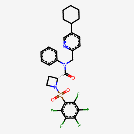 O=C([C@H]1CCN1S(=O)(=O)c1c(F)c(F)c(F)c(F)c1F)N(Cc1ccc(C2CCCCC2)cn1)c1ccccc1